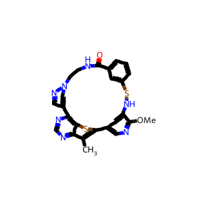 COc1ncc2cc1NSc1cccc(c1)C(=O)NCCn1cc(cn1)-c1ncnc3c(C)c-2sc13